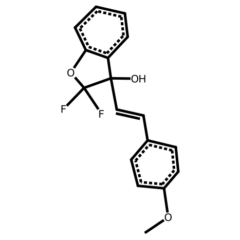 COc1ccc(C=CC2(O)c3ccccc3OC2(F)F)cc1